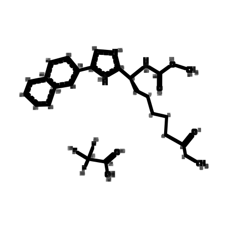 CCC(=O)CCCCC[C@H](NC(=O)OC)c1ncc(-c2ccc3ccccc3c2)[nH]1.O=C(O)C(F)(F)F